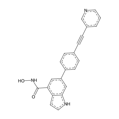 O=C(NO)c1cc(-c2ccc(C#Cc3cccnc3)cc2)cc2[nH]ccc12